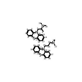 CC(CN1c2ccccc2Sc2ccccc21)N(C)C.CN(C)CCCN1c2ccccc2Sc2ccccc21